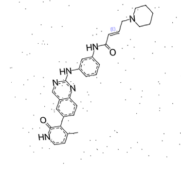 Cc1cc[nH]c(=O)c1-c1ccc2nc(Nc3cccc(NC(=O)/C=C/CN4CCCCC4)c3)ncc2c1